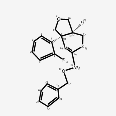 Fc1ccccc1[C@]12COC[C@H]1CSC(NOCc1ccccc1)=N2